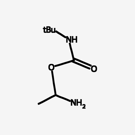 CC(N)OC(=O)NC(C)(C)C